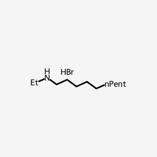 Br.CCCCCCCCCCNCC